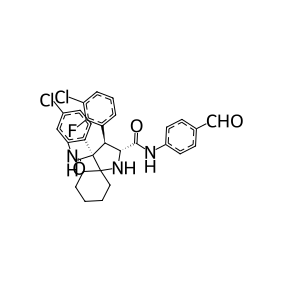 O=Cc1ccc(NC(=O)[C@@H]2NC3(CCCCC3)[C@@]3(C(=O)Nc4cc(Cl)ccc43)[C@H]2c2cccc(Cl)c2F)cc1